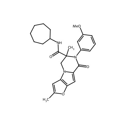 COc1cccc(N2C(=O)c3cc4oc(C)cc4n3CC2(C)C(=O)NC2CCCCCC2)c1